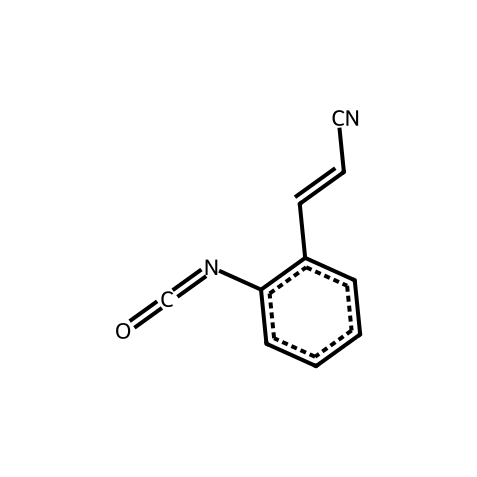 N#C/C=C/c1ccccc1N=C=O